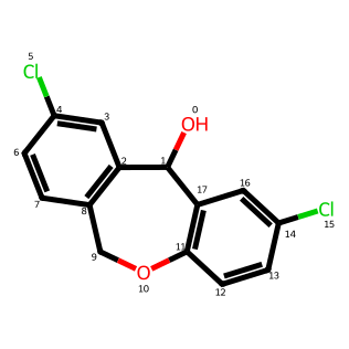 OC1c2cc(Cl)ccc2COc2ccc(Cl)cc21